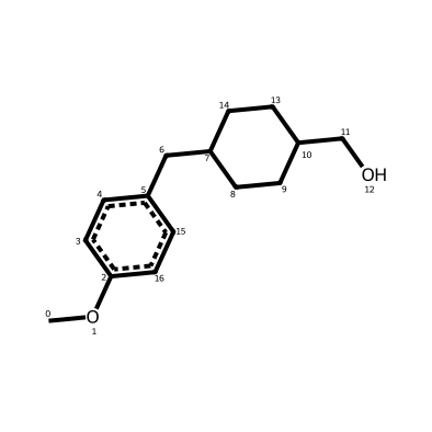 COc1ccc(CC2CCC(CO)CC2)cc1